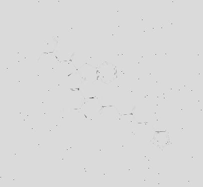 C[C@@H](O)[C@H](NC(=O)CNC(=O)[C@@H](N)Cc1nn[nH]n1)C(=O)N[C@@](C)(Cc1ccccc1F)C(=O)N[C@H](C=O)[C@@H](C)O